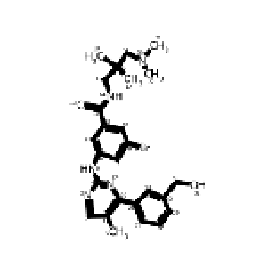 Cc1cnc(Nc2cc(Br)cc(C(=O)NCC(C)(C)CN(C)C)c2)nc1-c1cccc(CO)c1